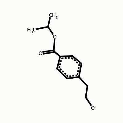 CC(C)OC(=O)c1ccc(CC[O])cc1